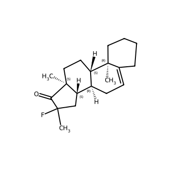 CC1(F)C[C@H]2[C@@H]3CC=C4CCCC[C@]4(C)[C@H]3CC[C@]2(C)C1=O